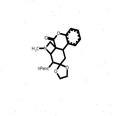 CCCCCC1C2N(C)CC23C(=O)Oc2ccccc2C3CC12OCCO2